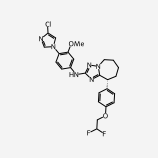 COc1cc(Nc2nc3n(n2)CCCC[C@@H]3c2ccc(OCC(F)F)cc2)ccc1-n1cnc(Cl)c1